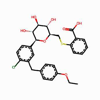 CCOc1ccc(Cc2cc([C@@H]3O[C@H](CSc4ccccc4C(=O)O)[C@@H](O)[C@H](O)[C@H]3O)ccc2Cl)cc1